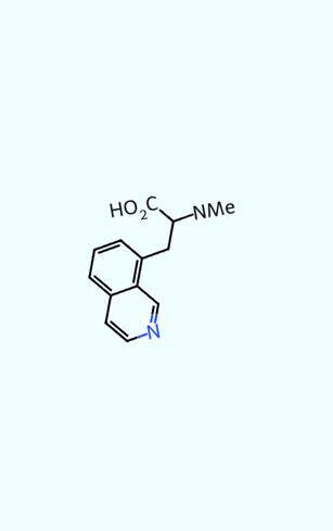 CNC(Cc1cccc2ccncc12)C(=O)O